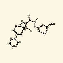 COc1cccc(CN(C)C(=O)c2cc3ccc(-c4ccncc4)cc3n2C)c1